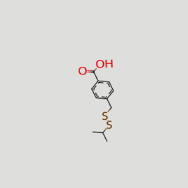 CC(C)SSCc1ccc(C(=O)O)cc1